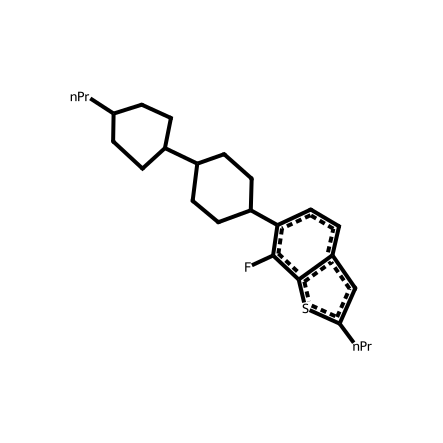 CCCc1cc2ccc(C3CCC(C4CCC(CCC)CC4)CC3)c(F)c2s1